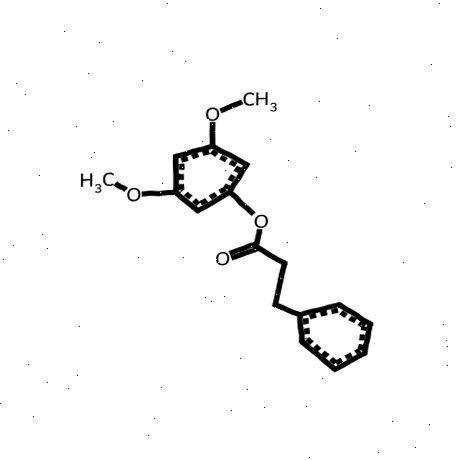 COc1cc(OC)cc(OC(=O)CCc2ccccc2)c1